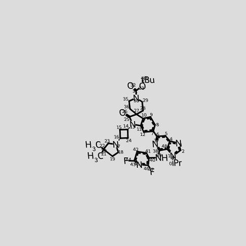 CC(C)n1cnc2cc(-c3ccc4c(c3)N([C@H]3C[C@@H](N5CCC(C)(C)C5)C3)C(=O)C43CCN(C(=O)OC(C)(C)C)CC3)nc(Nc3ccc(F)nc3F)c21